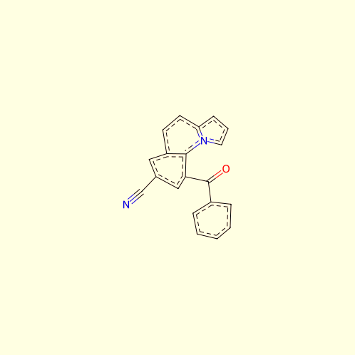 N#Cc1cc(C(=O)c2ccccc2)c2c(ccc3cccn32)c1